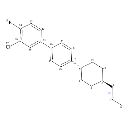 C/C=C/[C@H]1CC[C@H](c2ccc(-c3ccc(F)c(Cl)c3)cc2)CC1